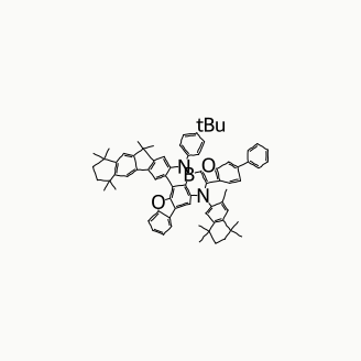 Cc1cc2c(cc1N1c3cc4c(oc5ccccc54)c4c3B(c3oc5cc(-c6ccccc6)ccc5c31)N(c1ccc(C(C)(C)C)cc1)c1cc3c(cc1-4)-c1cc4c(cc1C3(C)C)C(C)(C)CCC4(C)C)C(C)(C)CCC2(C)C